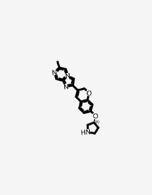 Cc1cn2cc(C3=Cc4ccc(O[C@@H]5CCNC5)cc4OC3)nc2cn1